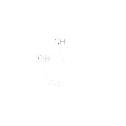 C=CN.C=CO